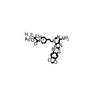 CC(=O)OC(C)(C)C(=O)N1CCC(CCn2cnc(N)c3nc(Sc4cc5c(cc4Br)OCO5)nc2-3)CC1